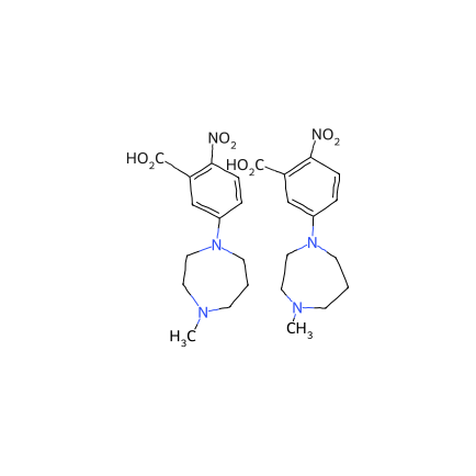 CN1CCCN(c2ccc([N+](=O)[O-])c(C(=O)O)c2)CC1.CN1CCCN(c2ccc([N+](=O)[O-])c(C(=O)O)c2)CC1